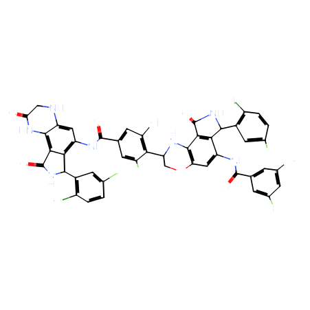 O=C1CNc2cc(NC(=O)c3cc(F)c(C4COc5cc(NC(=O)c6cc(F)cc(C(F)(F)F)c6)c6c(c5N4)C(=O)NC6c4cc(F)ccc4Cl)c(C(F)(F)F)c3)c3c(c2N1)C(=O)NC3c1cc(F)ccc1Cl